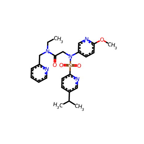 CCN(Cc1ccccn1)C(=O)CN(c1ccc(OC)nc1)S(=O)(=O)c1ccc(C(C)C)cn1